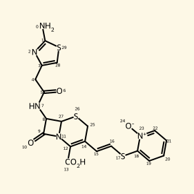 Nc1nc(CC(=O)NC2C(=O)N3C(C(=O)O)=C(C=CSc4cccc[n+]4[O-])CSC23)cs1